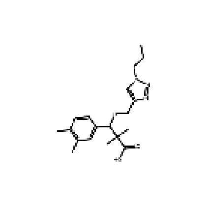 CCCn1cc(COC(c2ccc(C)c(C)c2)C(C)(C)C(=O)O)nn1